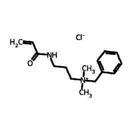 C=CC(=O)NCCC[N+](C)(C)Cc1ccccc1.[Cl-]